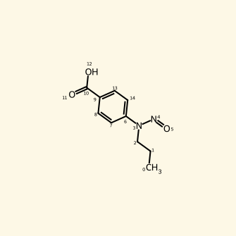 CCCN(N=O)c1ccc(C(=O)O)cc1